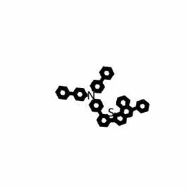 c1ccc(-c2ccc(N(c3ccc(-c4ccccc4)cc3)c3ccc(-c4cccc5c4sc4c5ccc5cc(-c6ccccc6)c6ccccc6c54)cc3)cc2)cc1